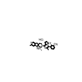 Cc1cc2c(cn1)CC1(CCN(c3nc(C)c(-c4cccc(C#N)c4F)n4nccc34)CC1)[C@@H]2N.Cl